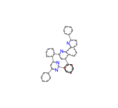 c1ccc(-c2cc(-c3ccccc3-c3cc(-c4ccccc4)c4ccc5ccc(-c6ccccc6)nc5c4n3)nc(-c3ccccc3)n2)cc1